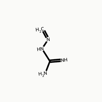 C=NNC(=N)N